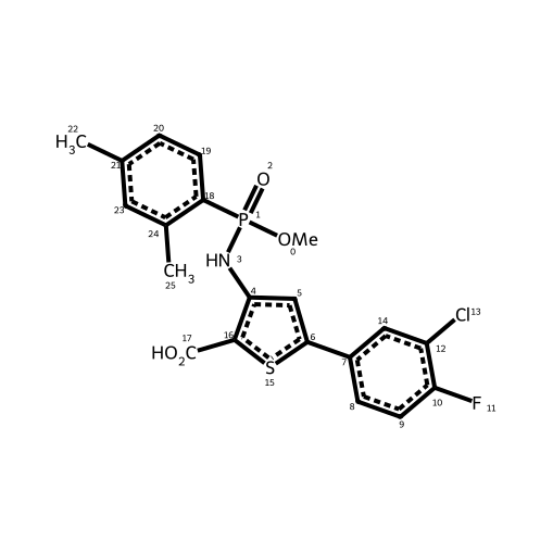 COP(=O)(Nc1cc(-c2ccc(F)c(Cl)c2)sc1C(=O)O)c1ccc(C)cc1C